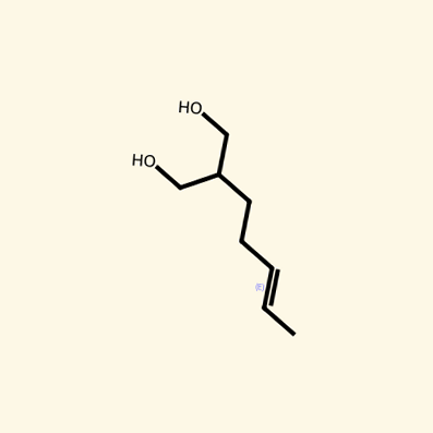 C/C=C/CCC(CO)CO